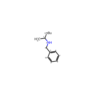 CCCCC(C)NCc1ccccc1